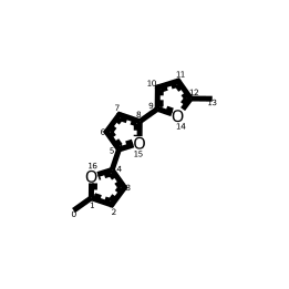 Cc1ccc(-c2ccc(-c3ccc(C)o3)o2)o1